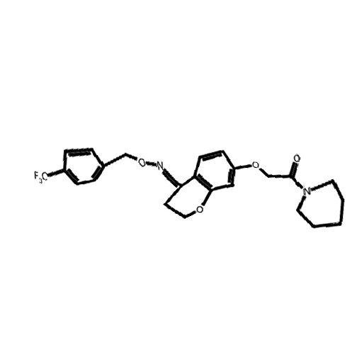 O=C(COc1ccc2c(c1)OCCC2=NOCc1ccc(C(F)(F)F)cc1)N1CCCCC1